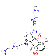 CNCCNCCNc1ccc(NCCNCCNC)c2c1C(=O)c1c(O)ccc(O)c1C2=O